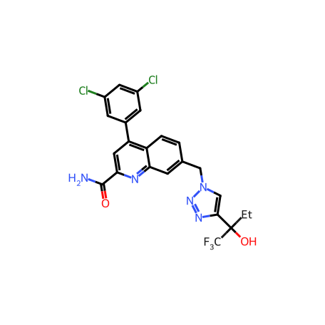 CCC(O)(c1cn(Cc2ccc3c(-c4cc(Cl)cc(Cl)c4)cc(C(N)=O)nc3c2)nn1)C(F)(F)F